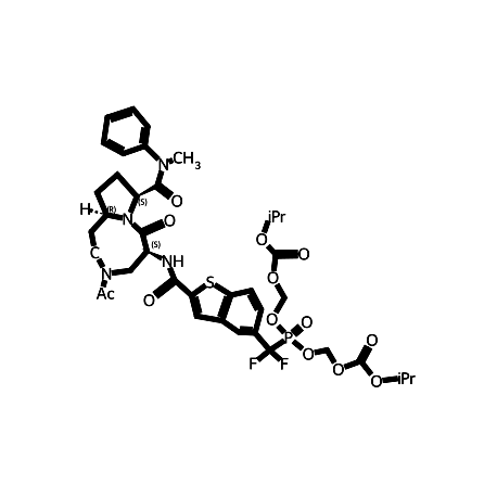 CC(=O)N1CC[C@H]2CC[C@@H](C(=O)N(C)c3ccccc3)N2C(=O)[C@@H](NC(=O)c2cc3cc(C(F)(F)P(=O)(OCOC(=O)OC(C)C)OCOC(=O)OC(C)C)ccc3s2)C1